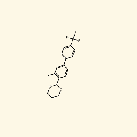 Cc1cc(C2C=CC(C(F)(F)F)=CC2)ccc1C1OCCCO1